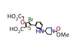 COC(=O)N1CCC(Nc2cccc(-c3sc(C(=O)O)c(OCC(=O)O)c3Br)c2)CC1